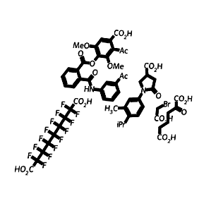 COc1cc(C(=O)O)c(C(C)=O)c(OC)c1OC(=O)c1ccccc1C(=O)Nc1cccc(C(C)=O)c1.Cc1cc(N2CC(C(=O)O)CC2=O)ccc1C(C)C.O=C(O)C(F)(F)C(F)(F)C(F)(F)C(F)(F)C(F)(F)C(F)(F)C(F)(F)C(=O)O.O=C(O)CBr.O=C(O)CCCC(=O)C(=O)O